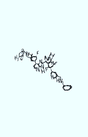 CS(=O)(=O)NCc1cc(F)cc(-c2ccnc3[nH]c(-c4n[nH]c5ncc(-c6cncc(CNCc7ccccc7)c6)c(F)c45)nc23)c1